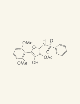 COc1cccc(OC)c1-c1oc(NS(=O)(=O)c2ccccc2)c(OC(C)=O)c1O